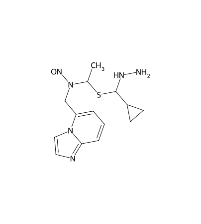 CC(SC(NN)C1CC1)N(Cc1cccc2nccn12)N=O